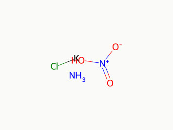 N.O=[N+]([O-])O.[Cl][K]